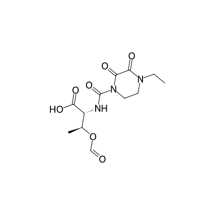 CCN1CCN(C(=O)N[C@@H](C(=O)O)[C@H](C)OC=O)C(=O)C1=O